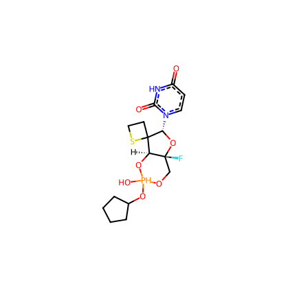 O=c1ccn([C@@H]2O[C@]3(F)CO[PH](O)(OC4CCCC4)O[C@H]3C23CCS3)c(=O)[nH]1